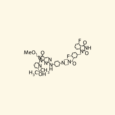 COCCn1c(=O)c2cnc(Nc3ccc(N4CCN(C(=O)c5cc(Cn6c(=O)[nH]c(=O)c7c(F)cccc76)ccc5F)CC4)cc3)nc2n1-c1cccc(C(C)(C)O)n1